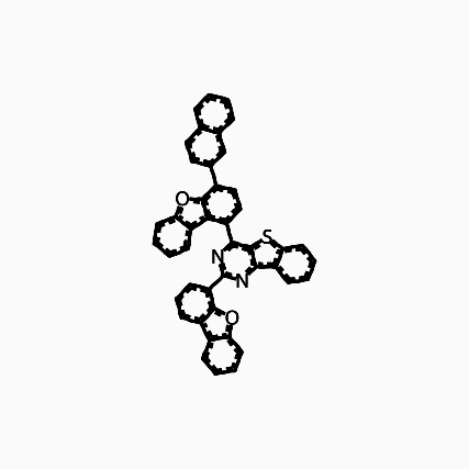 c1ccc2cc(-c3ccc(-c4nc(-c5cccc6c5oc5ccccc56)nc5c4sc4ccccc45)c4c3oc3ccccc34)ccc2c1